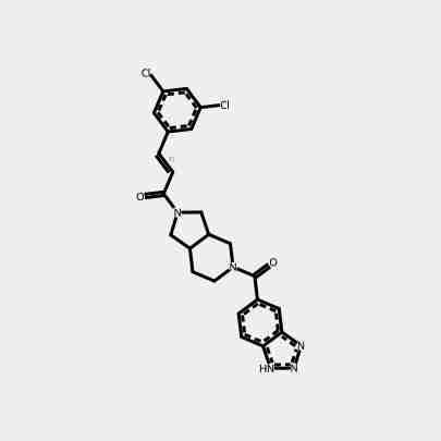 O=C(/C=C/c1cc(Cl)cc(Cl)c1)N1CC2CCN(C(=O)c3ccc4[nH]nnc4c3)CC2C1